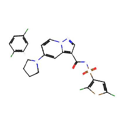 O=C(NS(=O)(=O)c1cc(Cl)sc1Cl)c1cnn2ccc(N3CCC[C@@H]3c3cc(F)ccc3F)cc12